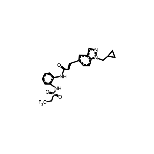 O=C(/C=C/c1ccc2c(cnn2CC2CC2)c1)Nc1ccccc1NS(=O)(=O)CC(F)(F)F